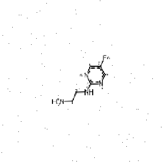 NCCNc1ncc(F)cn1